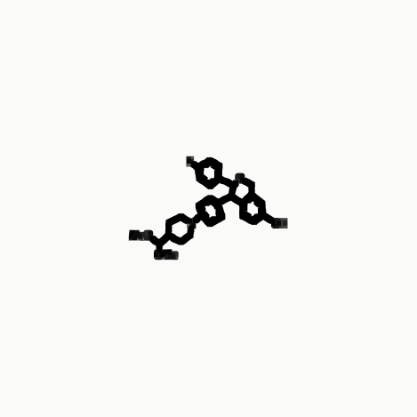 COC(OC)C1CCN(c2ccc(C3c4ccc(O)cc4COC3c3ccc(F)cc3)cc2)CC1